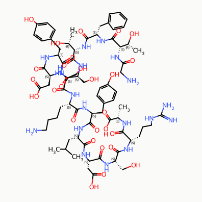 CC(C)C[C@H](NC(=O)[C@H](Cc1ccc(O)cc1)NC(=O)[C@H](CCCCN)NC(=O)[C@H](CO)NC(=O)[C@H](Cc1ccc(O)cc1)NC(=O)[C@H](CC(=O)O)NC(=O)[C@H](CO)NC(=O)[C@@H](NC(=O)[C@H](Cc1ccccc1)NC(=O)[C@@H](NC(=O)CN)[C@@H](C)O)[C@@H](C)O)C(=O)N[C@@H](CC(=O)O)C(=O)N[C@@H](CO)C(=O)N[C@@H](CCCNC(=N)N)C(=O)N[C@@H](C)C(=O)O